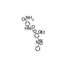 CCOc1cc(-c2noc(-c3ccccc3)n2)ccc1OCC(=O)Nc1ccc(C(N)=O)cc1